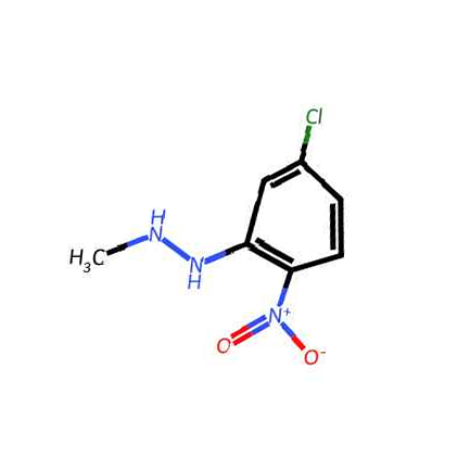 CNNc1cc(Cl)ccc1[N+](=O)[O-]